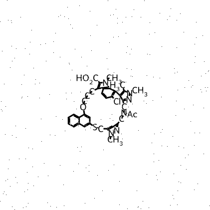 CC(=O)N1Cc2cc(n(C)n2)CSc2cc(c3ccccc3c2)OCCCc2c(C(=O)O)n(C)c3c(c(Cl)ccc23)-c2c(nn(C)c2C)C1